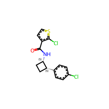 O=C(N[C@H]1CC[C@H]1c1ccc(Cl)cc1)c1ccsc1Cl